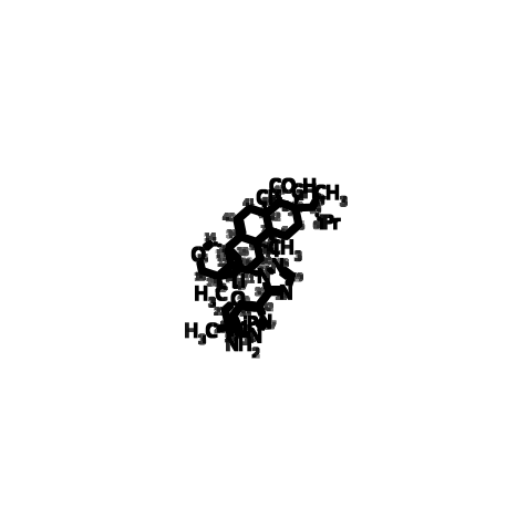 CC(C)[C@@H](C)[C@@]1(C)CC[C@]2(C)[C@H]3CC[C@@H]4[C@@]5(COC[C@@]4(C)[C@@H](OC[C@](C)(N)C(C)C)[C@H](n4ncnc4-c4cccnn4)C5)C3=CC[C@@]2(C)[C@@H]1C(=O)O